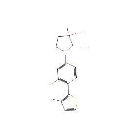 Cc1ccsc1-c1ccc(N2CC[C@](C)(O)[C@@H]2C)cc1Cl